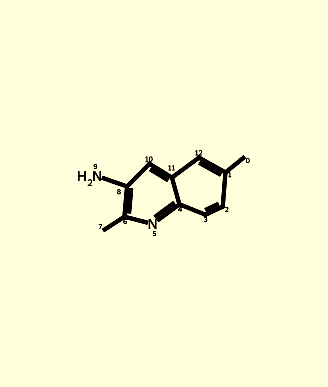 Cc1ccc2nc(C)c(N)cc2c1